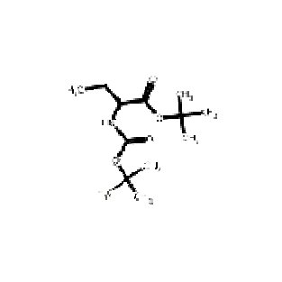 CCC(NC(=O)OC(C)(C)C)C(=O)OC(C)(C)C